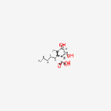 CCCCCc1c(C)c(O)cc(O)c1C(=O)O